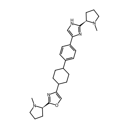 CN1CCC[C@@H]1c1nc(-c2ccc(C3CCC(c4coc([C@H]5CCCN5C)n4)CC3)cc2)c[nH]1